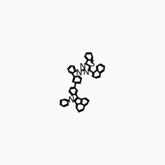 c1ccc(-n2c3c(c4cc(-c5ccc6c(c5)c5ccccc5n6-c5nc(-c6cccc7ccccc67)c6sc7ccccc7c6n5)ccc42)-c2cccc4cccc-3c24)cc1